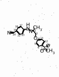 CC(COc1ccc(S(C)(=O)=O)cc1)=NNc1ccc(C#N)cc1